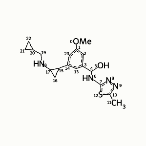 COc1cc(C(O)Nc2nnc(C)s2)cc(C2CC2NCC2CC2)c1